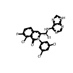 CC[C@H](Nc1ncnc2[nH]cnc12)c1cc2ccc(F)c(Cl)c2c(=O)n1-c1cc(Cl)cc(Cl)c1